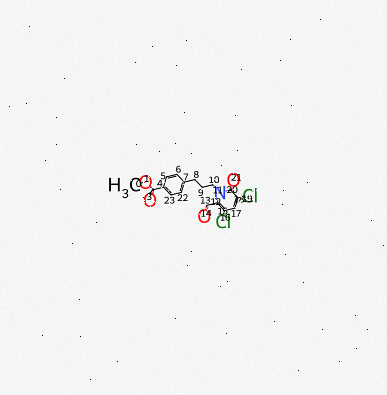 COC(=O)c1ccc(CCCn2c(C=O)c(Cl)cc(Cl)c2=O)cc1